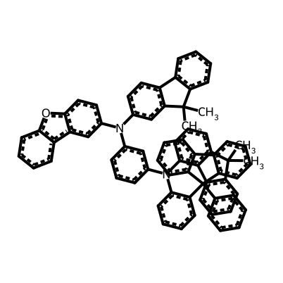 CC1(C)c2ccccc2-c2ccc(N(c3cccc(N(c4ccccc4C4(c5ccccc5)c5ccccc5-c5ccccc54)c4cccc5c4-c4ccccc4C5(C)C)c3)c3ccc4oc5ccccc5c4c3)cc21